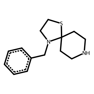 c1ccc(CN2CCSC23CCNCC3)cc1